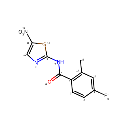 CCc1ccc(C(=O)Nc2ncc([N+](=O)[O-])s2)c(C)c1